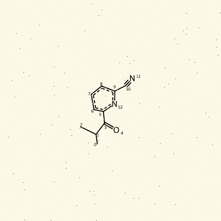 CC(C)C(=O)c1cccc(C#N)n1